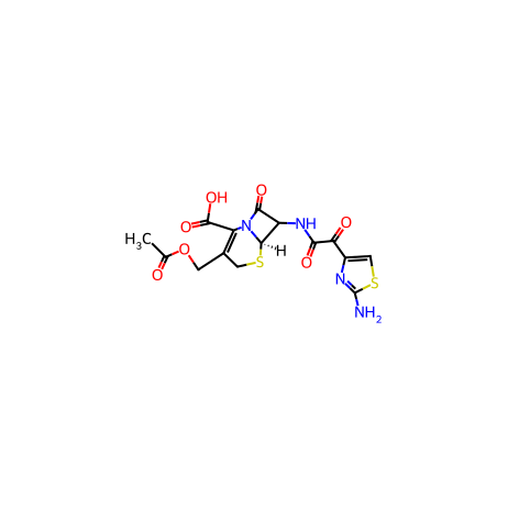 CC(=O)OCC1=C(C(=O)O)N2C(=O)C(NC(=O)C(=O)c3csc(N)n3)[C@H]2SC1